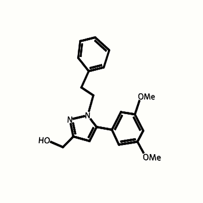 COc1cc(OC)cc(-c2cc(CO)nn2CCc2ccccc2)c1